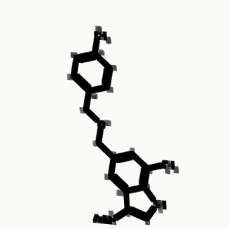 CC(=O)Nc1c[nH]c2c(C)cc(COCc3ccc(C)cc3)cc12